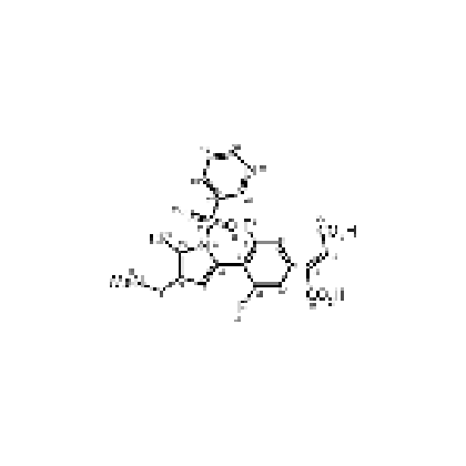 CNCc1cc(-c2c(F)cccc2F)n(S(=O)(=O)c2cccnc2)c1Cl.O=C(O)/C=C/C(=O)O